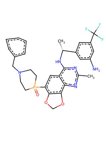 Cc1nc(N[C@H](C)c2cc(N)cc(C(F)(F)F)c2)c2cc(P3(=O)CCN(Cc4ccccc4)CC3)c3c(c2n1)OCO3